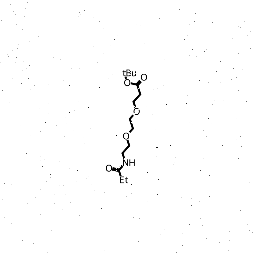 CCC(=O)NCCOCCOCCC(=O)OC(C)(C)C